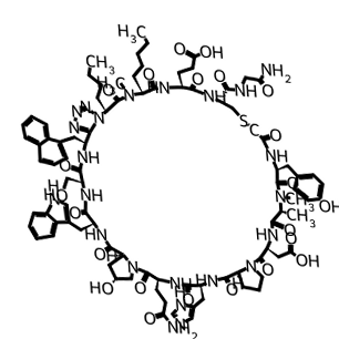 CCCCC[C@H]1C(=O)N[C@@H](CCC(=O)O)C(=O)N[C@H](C(=O)NCC(N)=O)CSCC(=O)N[C@@H](Cc2ccc(O)cc2)C(=O)N(C)[C@@H](C)C(=O)N[C@@H](CC(=O)O)C(=O)N2CCC[C@H]2C(=O)N[C@@H](Cc2cnc[nH]2)C(=O)N[C@@H](CCC(N)=O)C(=O)N2C[C@H](O)C[C@H]2C(=O)N[C@@H](Cc2c[nH]c3ccccc23)C(=O)N[C@@H](CO)C(=O)N[C@@H](Cc2cccc3ccccc23)c2nnnn2[C@@H](CCCC)C(=O)N1C